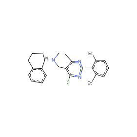 CCc1cccc(CC)c1-c1nc(C)c(CN(C)[C@H]2CCCc3ccccc32)c(Cl)n1